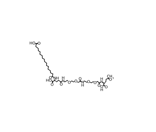 CC(=O)CC[C@H](NC(=O)COCCOCCNC(=O)COCCOCCNC(=O)CC[C@H](NC(=O)CCCCCCCCCCCCCCCCC(=O)O)C(=O)O)C(=O)O